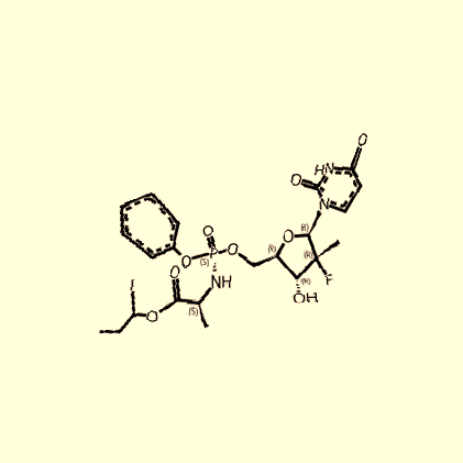 CCC(I)OC(=O)[C@H](C)N[P@](=O)(OC[C@H]1O[C@@H](n2ccc(=O)[nH]c2=O)[C@](C)(F)[C@@H]1O)Oc1ccccc1